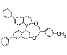 Cc1ccc(C2COc3cc(c4ccc(-c5ccccc5)cc4c3)-c3c(ccc4cc(-c5ccccc5)ccc34)OC2)cc1